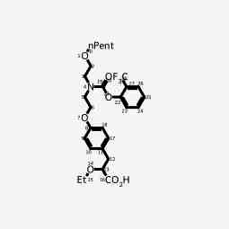 CCCCCOCCN(CCOc1ccc(CC(OCC)C(=O)O)cc1)C(=O)Oc1ccccc1C(F)(F)F